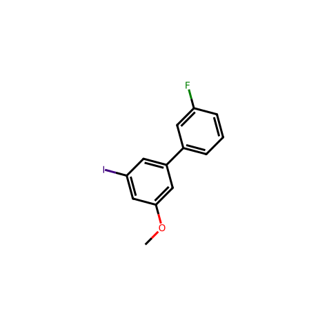 COc1cc(I)cc(-c2cccc(F)c2)c1